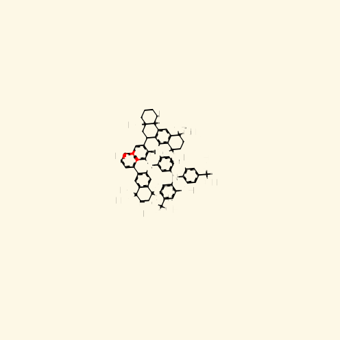 Cc1cc2c3c(c1)N(c1cc4c(cc1-c1ccccc1)C(C)(C)CCC4(C)C)c1cc(N(c4ccc(C(C)(C)C)cc4C)c4ccc(C(C)(C)C)cc4C)ccc1B3c1c3c(cc4c1C(C)(C)CCC4(C)C)C1(C)CCCCC1(C)CC23